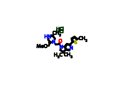 COC[C@H]1CN[C@H](C)CN1CC(=O)N1CC(C)(C)c2cnc(-c3ccc(C)s3)cc21.Cl.Cl